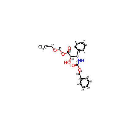 O=C(N[C@@H](c1ccccc1)[C@@H](O)C(=O)OCOCC(Cl)(Cl)Cl)OCc1ccccc1